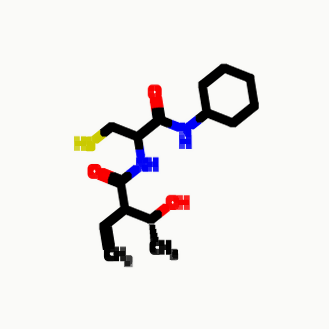 C=CC(C(=O)NC(CS)C(=O)NC1CCCCC1)[C@@H](C)O